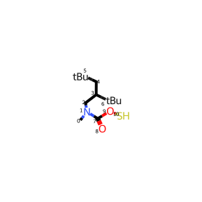 CN(CC(CC(C)(C)C)C(C)(C)C)C(=O)OS